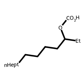 CCCCCCCCCCCC(CC)OC(=O)O